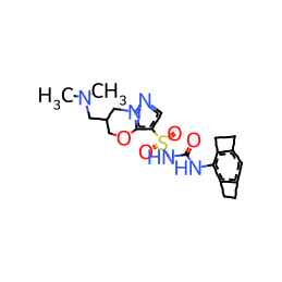 CN(C)CC1COc2c(S(=O)(=O)NC(=O)Nc3c4c(cc5c3CC5)CC4)cnn2C1